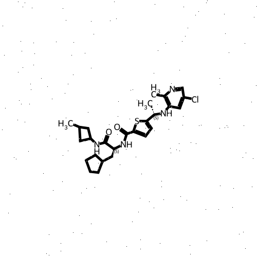 Cc1ncc(Cl)cc1N[C@@H](C)c1ccc(C(=O)N[C@@H](CC2CCCC2)C(=O)NC2CC(C)C2)s1